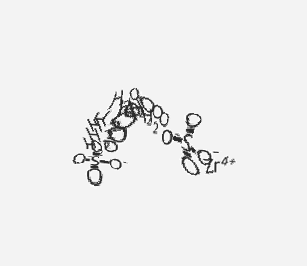 O.O.O.O.O.O.O.O.O=S(=O)([O-])[O-].O=S(=O)([O-])[O-].[Zr+4]